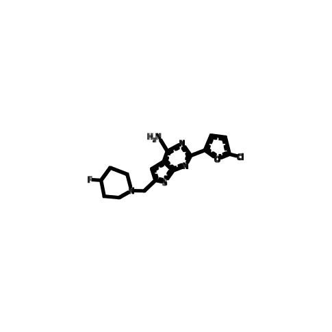 Nc1nc(-c2ccc(Cl)o2)nc2sc(CN3CCC(F)CC3)cc12